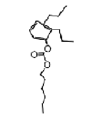 CCCCCCOC(=O)Oc1cccc(CCC)c1CCC